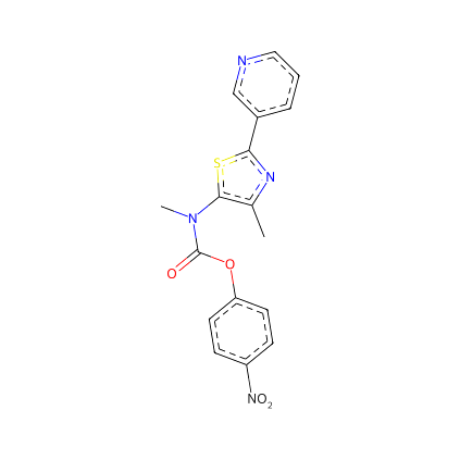 Cc1nc(-c2cccnc2)sc1N(C)C(=O)Oc1ccc([N+](=O)[O-])cc1